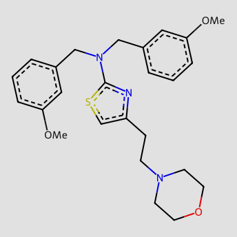 COc1cccc(CN(Cc2cccc(OC)c2)c2nc(CCN3CCOCC3)cs2)c1